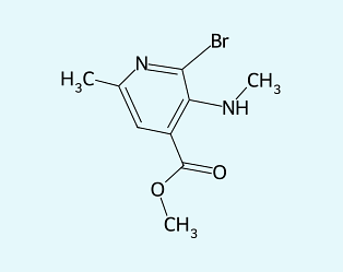 CNc1c(C(=O)OC)cc(C)nc1Br